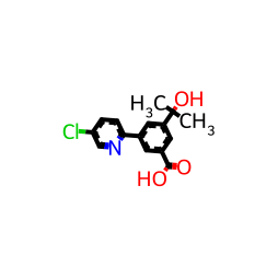 CC(C)(O)c1cc(C(=O)O)cc(-c2ccc(Cl)cn2)c1